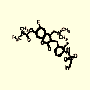 CC(C)CS(=O)(=O)Nc1cccc(Cc2c(CN(C)C)c3cc(F)c(OC(=O)N(C)C)cc3oc2=O)c1F